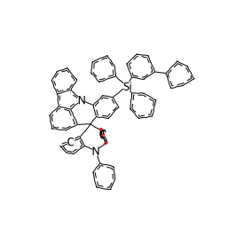 c1ccc(-c2cccc([Si](c3ccccc3)(c3ccccc3)c3ccc4c(c3)-n3c5ccccc5c5cccc(c53)C43c4ccccc4N(c4ccccc4)c4ccccc43)c2)cc1